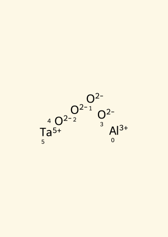 [Al+3].[O-2].[O-2].[O-2].[O-2].[Ta+5]